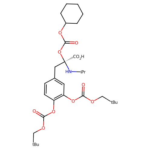 CC(C)N[C@@](Cc1ccc(OC(=O)OCC(C)(C)C)c(OC(=O)OCC(C)(C)C)c1)(OC(=O)OC1CCCCC1)C(=O)O